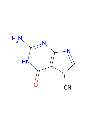 N#CC1C=Nc2nc(N)[nH]c(=O)c21